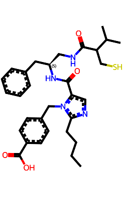 CCCCc1ncc(C(=O)N[C@H](CNC(=O)C(CS)C(C)C)Cc2ccccc2)n1Cc1ccc(C(=O)O)cc1